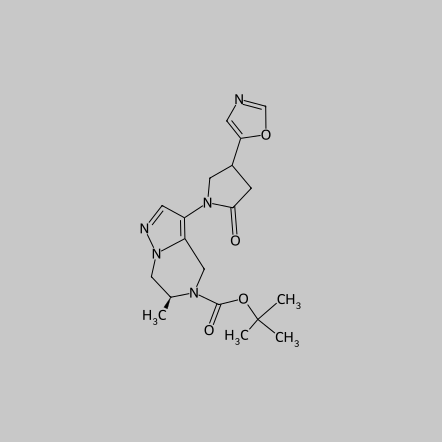 C[C@H]1Cn2ncc(N3CC(c4cnco4)CC3=O)c2CN1C(=O)OC(C)(C)C